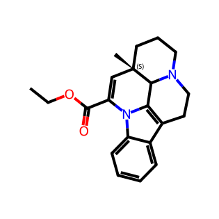 CCOC(=O)C1=C[C@]2(C)CCCN3CCc4c(n1c1ccccc41)C32